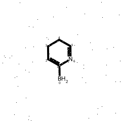 BC1=CCCC=N1